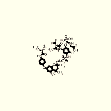 CON(C)C(=O)Nc1ccc(Oc2ccc3c(c2)OC(C)(OC)CC3(C)C)cc1.Cc1nn(-c2cc(NS(C)(=O)=O)c(Cl)cc2Cl)c(=O)n1C(F)F.O=C(O)CNCP(=O)(O)O